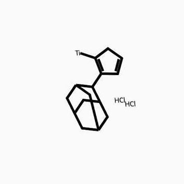 Cl.Cl.[Ti][C]1=C(C2C3CC4CC(C3)CC2C4)C=CC1